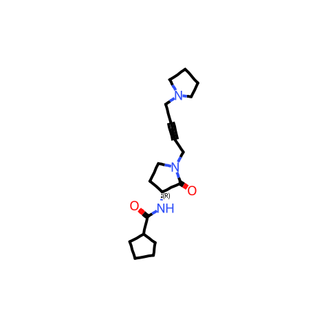 O=C(N[C@@H]1CCN(CC#CCN2CCCC2)C1=O)C1CCCC1